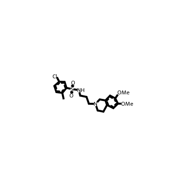 COc1cc2c(cc1OC)CN(CCCNS(=O)(=O)c1cc(Cl)ccc1C)CC2